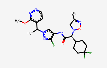 COc1nnccc1C(C)n1cc(NC(=O)[C@H](C2CCC(F)(F)CC2)N2CC(C)=NO2)c(F)n1